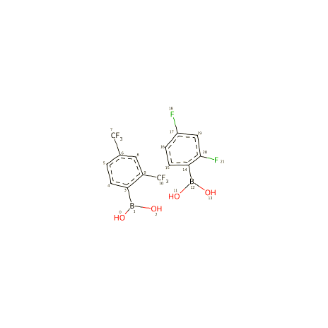 OB(O)c1ccc(C(F)(F)F)cc1C(F)(F)F.OB(O)c1ccc(F)cc1F